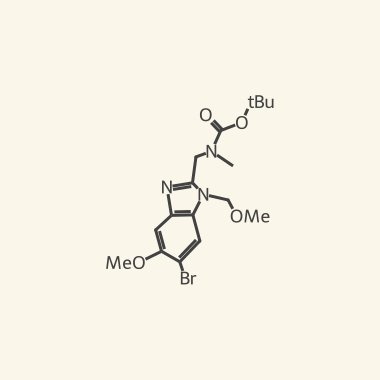 COCn1c(CN(C)C(=O)OC(C)(C)C)nc2cc(OC)c(Br)cc21